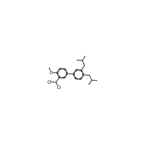 COc1ccc(-c2ccc(CC(C)C)c(CC(C)C)c2)cc1C(Cl)Cl